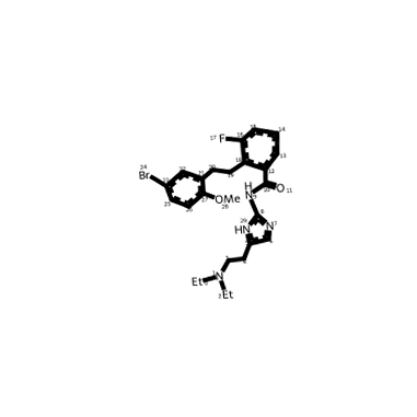 CCN(CC)CCc1cnc(NC(=O)c2cccc(F)c2CCc2cc(Br)ccc2OC)[nH]1